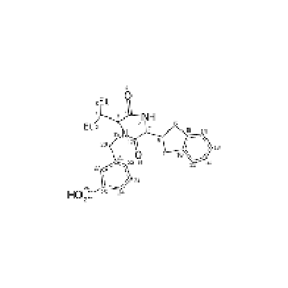 CCC(CC)C1C(=O)NC(C2Cc3ccccc3C2)C(=O)N1Cc1cccc(C(=O)O)c1